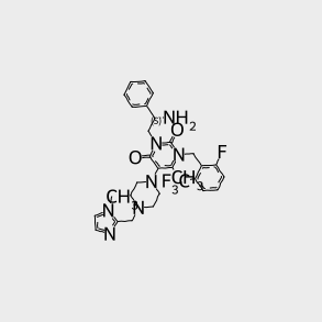 Cc1c(N2CCN(Cc3nccn3C)CC2)c(=O)n(C[C@@H](N)c2ccccc2)c(=O)n1Cc1c(F)cccc1C(F)(F)F